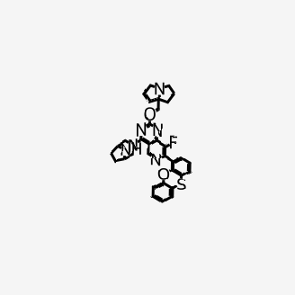 Fc1c(-c2cccc3c2Oc2ccccc2S3)ncc2c(N3CC4CCC(C3)N4)nc(OCC34CCCN3CCC4)nc12